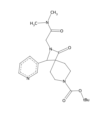 CN(C)C(=O)CN1C(=O)C2(CCN(C(=O)OC(C)(C)C)CC2)C1c1cccnc1